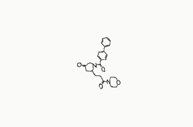 O=C1CC(CCC(=O)N2CCOCC2)N(C(=O)c2ccc(-c3ccccc3)cc2)C1